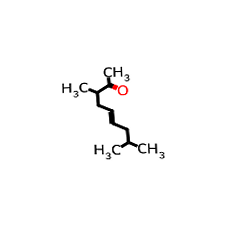 CC(=O)C(C)C/C=C/CC(C)C